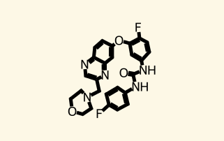 O=C(Nc1ccc(F)cc1)Nc1ccc(F)c(Oc2ccc3ncc(CN4CCOCC4)nc3c2)c1